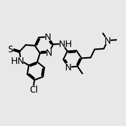 Cc1ncc(Nc2ncc3c(n2)-c2ccc(Cl)cc2NC(=S)C3)cc1CCCN(C)C